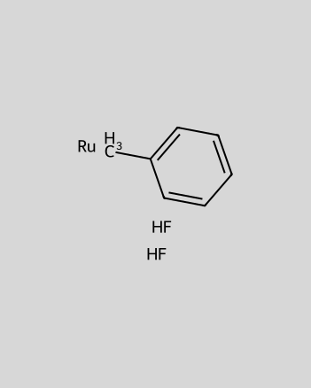 Cc1ccccc1.F.F.[Ru]